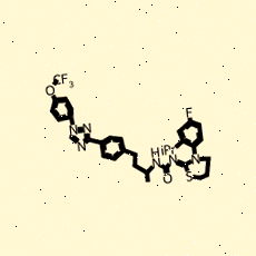 CC(CCc1ccc(-c2ncn(-c3ccc(OC(F)(F)F)cc3)n2)cc1)NC(=O)/N=C1\SCCCN1c1ccc(F)cc1C(C)C